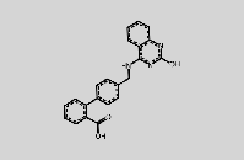 O=C(O)c1ccccc1-c1ccc(CNc2nc(O)nc3ccccc23)cc1